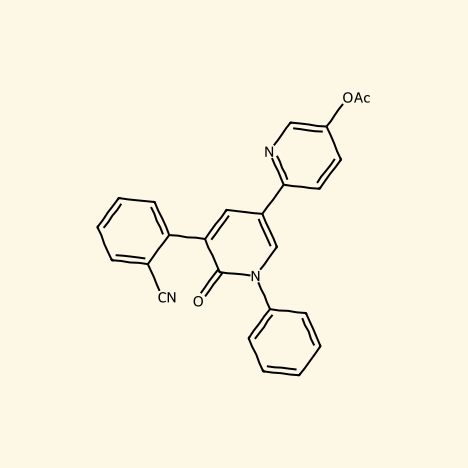 CC(=O)Oc1ccc(-c2cc(-c3ccccc3C#N)c(=O)n(-c3ccccc3)c2)nc1